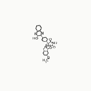 COc1ccc2c(c1)C(=O)N(CC1(c3ccc(-c4nc5ccccc5nc4O)cc3)NC(=O)NC1=O)C2